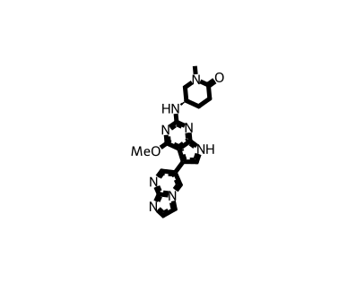 COc1nc(N[C@H]2CCC(=O)N(C)C2)nc2[nH]cc(-c3cnc4nccn4c3)c12